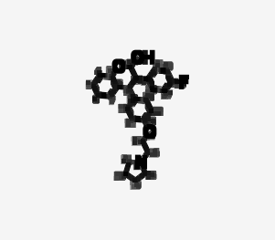 OC1Oc2ccccc2C(c2ccc(OCCN3CCCC3)cc2)C1c1ccc(F)cc1